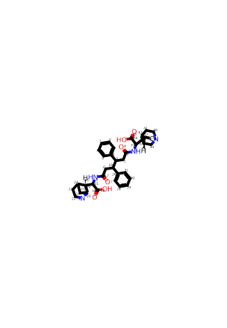 O=C(CC(c1ccccc1)C(CC(=O)NC(C(=O)O)[C@H]1C2=NCCC1C2)c1ccccc1)NC(C(=O)O)[C@H]1CN2CCC1CC2